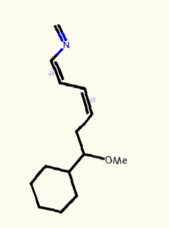 C=N/C=C\C=C/CC(OC)C1CCCCC1